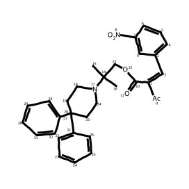 CC(=O)C(=Cc1cccc([N+](=O)[O-])c1)C(=O)OCC(C)(C)N1CCC(c2ccccc2)(c2ccccc2)CC1